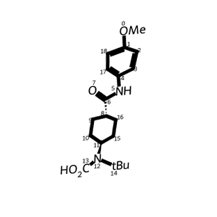 COc1ccc(NC(=O)[C@H]2CC[C@H](N(C(=O)O)C(C)(C)C)CC2)cc1